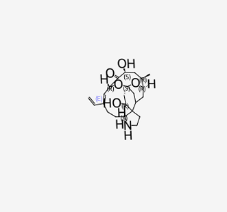 C=C/C1=C/[C@H]2O[C@]34CC(C[C@@H](O3)[C@H](C)C[C@H](O)C2=O)C2(CCN[C@H]2CC1)[C@H](O)C4